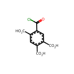 O=C(O)c1cc(C(=O)O)c(C(=O)Cl)cc1C(=O)O